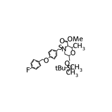 COC(=O)C1C(C)OC(CO[Si](C)(C)C(C)(C)C)CN1Sc1ccc(OCc2ccc(F)cc2)cc1